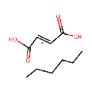 CCCCCC.O=C(O)/C=C/C(=O)O